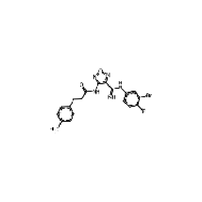 Cc1ccc(CCC(=O)Nc2nonc2C(=N)Nc2ccc(F)c(Br)c2)cc1